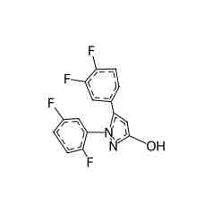 Oc1cc(-c2ccc(F)c(F)c2)n(-c2cc(F)ccc2F)n1